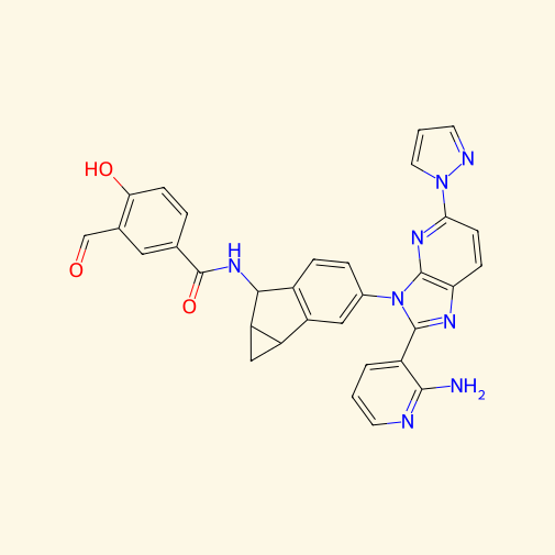 Nc1ncccc1-c1nc2ccc(-n3cccn3)nc2n1-c1ccc2c(c1)C1CC1C2NC(=O)c1ccc(O)c(C=O)c1